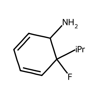 CC(C)C1(F)C=CC=CC1N